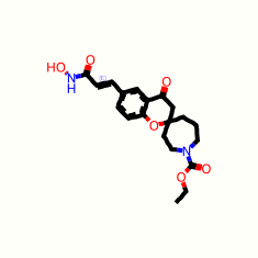 CCOC(=O)N1CCCC2(CC1)CC(=O)c1cc(/C=C/C(=O)NO)ccc1O2